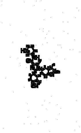 Cc1c2cc(-n3c(-c4ccc(C#N)c(F)c4)nc(C(=O)N[C@@H]4CCCNC4)c3C)ccc2nn1C